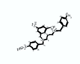 Cc1ccc(CSCCCN(Cc2ccc(C(=O)O)cc2)Cc2cc(C(F)(F)F)cc(C(F)(F)F)c2)cc1